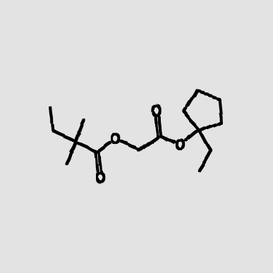 CCC1(OC(=O)COC(=O)C(C)(C)CC)CCCC1